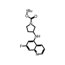 CC(C)(C)OC(=O)N1CCC(Nc2cc(F)cc3ncccc23)C1